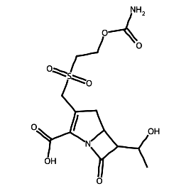 CC(O)C1C(=O)N2C(C(=O)O)=C(CS(=O)(=O)CCOC(N)=O)CC12